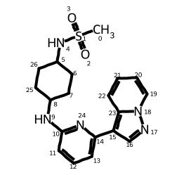 CS(=O)(=O)NC1CCC(Nc2cccc(-c3cnn4ccccc34)n2)CC1